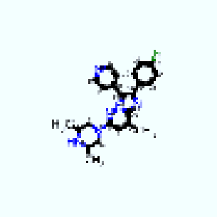 Cc1cc(N2CC(C)NC(C)C2)nn2c(-c3ccncc3)c(-c3ccc(F)cc3)nc12